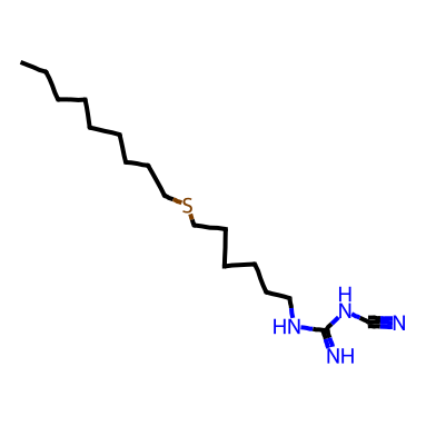 CCCCCCCCCSCCCCCCNC(=N)NC#N